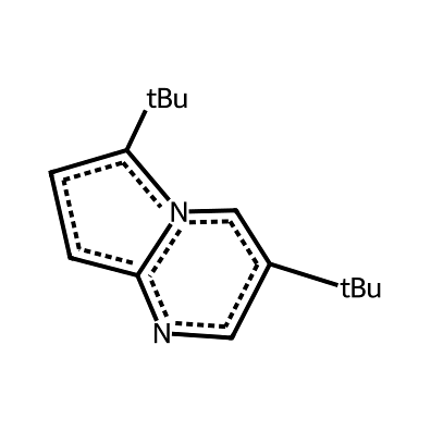 CC(C)(C)c1cnc2ccc(C(C)(C)C)n2c1